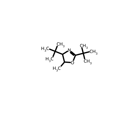 CC1OC(C(C)(C)C)=NC1C(C)(C)C